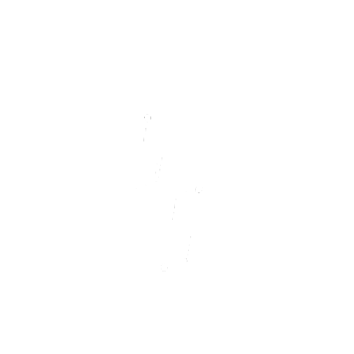 COC/C=C(\C)C(=O)CCC(C)=O